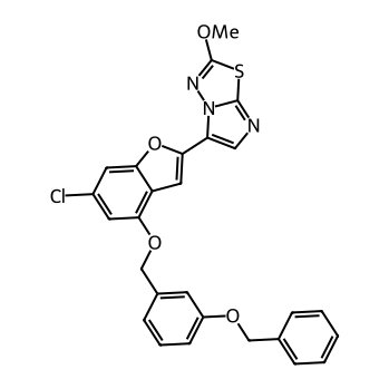 COc1nn2c(-c3cc4c(OCc5cccc(OCc6ccccc6)c5)cc(Cl)cc4o3)cnc2s1